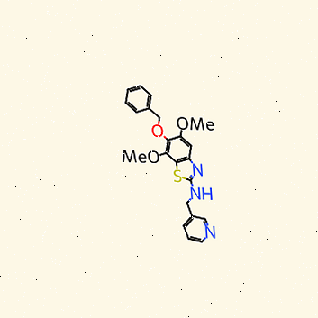 COc1cc2nc(NCc3cccnc3)sc2c(OC)c1OCc1ccccc1